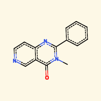 Cn1c(-c2ccccc2)nc2ccncc2c1=O